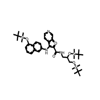 CC(C)(C)[Si](C)(C)OCC(CNC(=O)c1oc2cnccc2c1Nc1ccc2c(O[Si](C)(C)C(C)(C)C)cccc2c1)O[Si](C)(C)C(C)(C)C